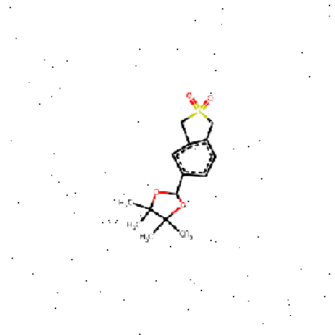 CC1(C)OC(c2ccc3c(c2)CS(=O)(=O)C3)OC1(C)C